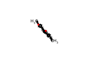 CCCCC[C@H]1CC[C@H](/C=C/COc2ccc(OC[C@H]3CC[C@H](CCCCC)CC3)cc2)CC1